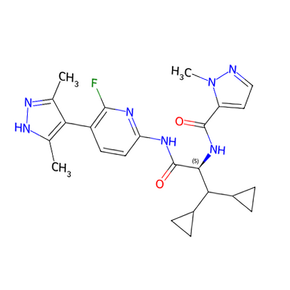 Cc1n[nH]c(C)c1-c1ccc(NC(=O)[C@@H](NC(=O)c2ccnn2C)C(C2CC2)C2CC2)nc1F